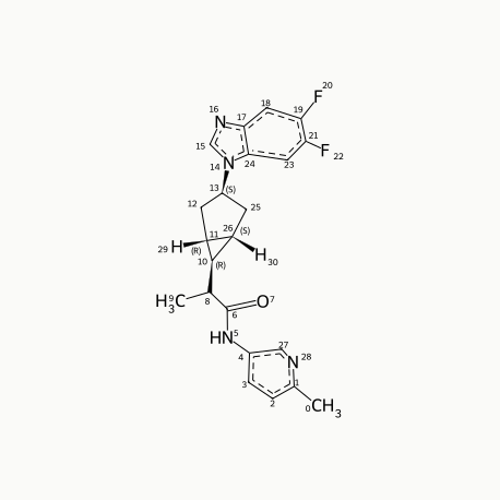 Cc1ccc(NC(=O)C(C)[C@H]2[C@@H]3C[C@@H](n4cnc5cc(F)c(F)cc54)C[C@@H]32)cn1